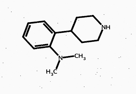 CN(C)c1ccccc1C1CCNCC1